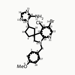 COc1ccc(CN2CC3(CCC(n4ncnc4N)C3)c3c2ncc(Br)c3Cl)cc1